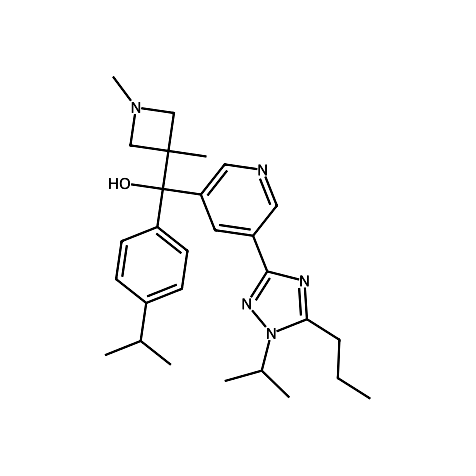 CCCc1nc(-c2cncc(C(O)(c3ccc(C(C)C)cc3)C3(C)CN(C)C3)c2)nn1C(C)C